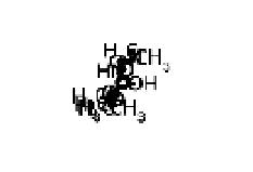 CN(C)CCS(=O)(=O)Nc1cc(O)cc(B2OC(C)(C)C(C)(C)O2)c1